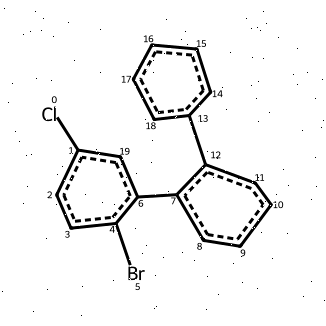 Clc1ccc(Br)c(-c2ccccc2-c2ccccc2)c1